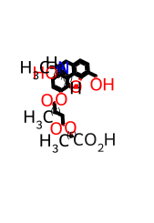 C[C@H](OC(=O)C[C@H](C)C(=O)OC1=CC[C@@]2(O)[C@H]3Cc4ccc(CO)c5c4[C@@]2(CCN3C)[C@H]1O5)C(=O)O